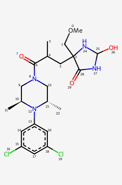 COCC1(CC(C)C(=O)N2C[C@H](C)N(c3cc(Cl)cc(Cl)c3)[C@@H](C)C2)NC(O)NC1=O